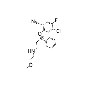 COCCNCC[C@@H](Oc1cc(Cl)c(F)cc1C#N)c1ccccc1